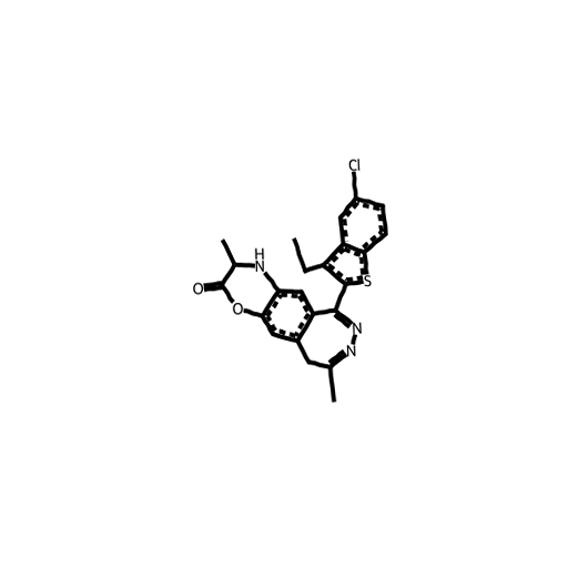 CCc1c(C2=NN=C(C)Cc3cc4c(cc32)NC(C)C(=O)O4)sc2ccc(Cl)cc12